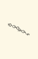 CC(C)CCN1CCC(NCc2ccc(N3CCC(c4ccncc4)CC3)cc2)CC1